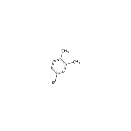 [CH2]c1cc(Br)ccc1C